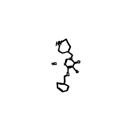 Cl.O=c1c(Br)c(OCc2ccccc2)ncn1CC1CCNCC1